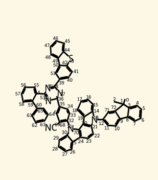 CC1(C)c2ccccc2-c2ccc(-n3c4ccccc4c4c3ccc3c5ccccc5n(-c5ccc(-c6nc(-c7ccc8sc9ccccc9c8c7)nc(-c7ccccc7-c7ccccc7)n6)cc5C#N)c34)cc21